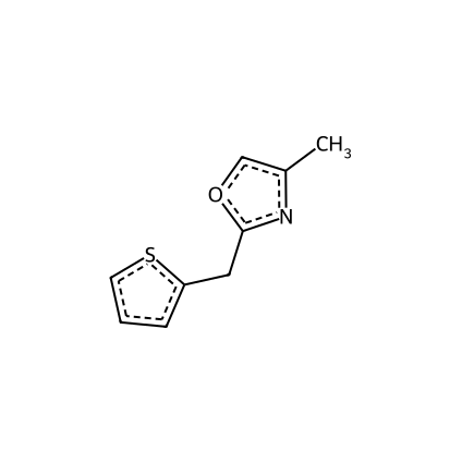 Cc1coc(Cc2cccs2)n1